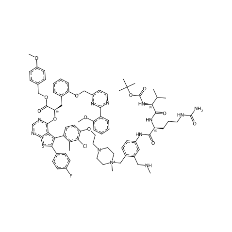 CNCc1cc(NC(=O)[C@H](CCCNC(N)=O)NC(=O)[C@@H](NC(=O)OC(C)(C)C)C(C)C)ccc1C[N+]1(C)CCN(CCOc2ccc(-c3c(-c4ccc(F)cc4)sc4ncnc(O[C@H](Cc5ccccc5OCc5ccnc(-c6ccccc6OC)n5)C(=O)OCc5ccc(OC)cc5)c34)c(C)c2Cl)CC1